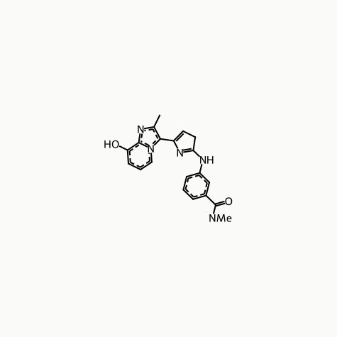 CNC(=O)c1cccc(NC2=NC(c3c(C)nc4c(O)cccn34)=CC2)c1